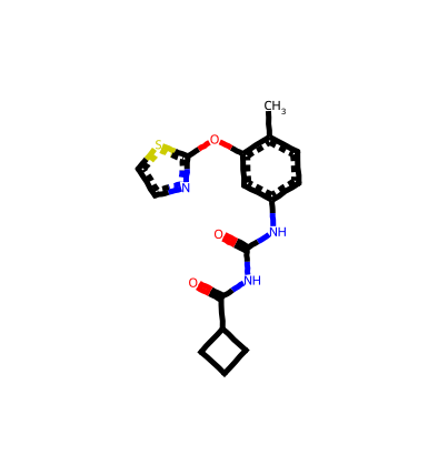 Cc1ccc(NC(=O)NC(=O)C2CCC2)cc1Oc1nccs1